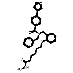 O=C(CCCCCOc1ccccc1CN(Cc1ccccc1)C(=O)c1ccc(-c2ccoc2)cc1)NO